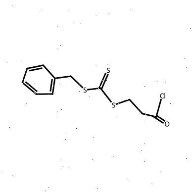 O=C(Cl)CCSC(=S)SCc1ccccc1